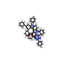 c1ccc(-c2cc3c4ccccc4c4cccc5c4c4c6c3c(c2)n(-c2ccccc2)c6ccc4n5-c2ccccc2-c2nc(-c3ccccc3)nc(-c3ccccc3)n2)cc1